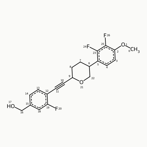 COc1ccc(C2CCC(C#Cc3ccc(CO)cc3F)OC2)c(F)c1F